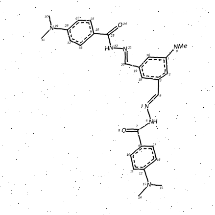 CNc1cc(/C=N/NC(=O)c2ccc(N(C)C)cc2)cc(/C=N/NC(=O)c2ccc(N(C)C)cc2)c1